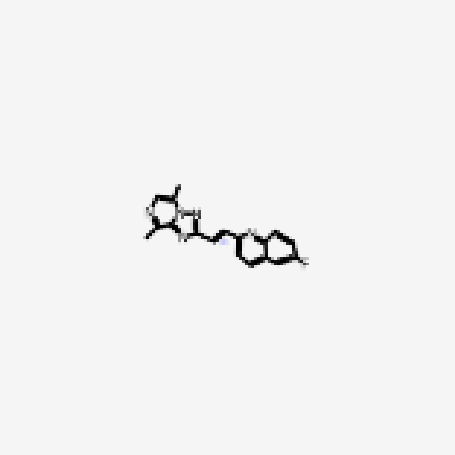 Cc1ncc(C)n2nc(/C=C/c3ccc4cc(F)ccc4n3)nc12